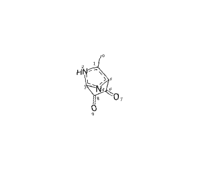 Cc1[nH]c2nc1C(=O)C2=O